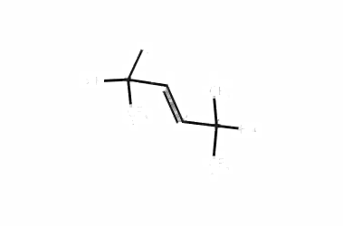 CC(F)(/C=C/C(F)(C(F)(F)F)C(F)(F)F)C(F)(F)F